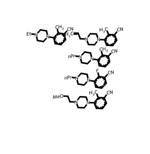 C=CCN1CCN(c2cccc(C#N)c2C)CC1.CCCN1CCN(c2cccc(C#N)c2C)CC1.CCCN1CCN(c2cccc(C#N)c2F)CC1.CCN1CCN(c2cccc(C#N)c2C)CC1.COCCN1CCN(c2cccc(C#N)c2C)CC1